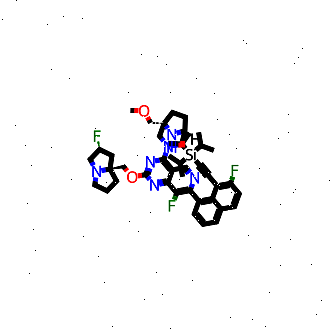 COC[C@@]12CC[C@@H](CN(c3nc(OC[C@@]45CCCN4C[C@H](F)C5)nc4c(F)c(-c5cccc6ccc(F)c(C#C[Si](C(C)C)(C(C)C)C(C)C)c56)ncc34)C1)N2